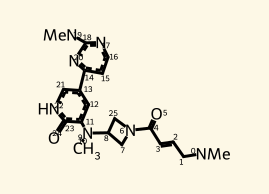 CNCC=CC(=O)N1CC(N(C)c2cc(-c3ccnc(NC)n3)c[nH]c2=O)C1